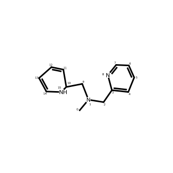 CN(Cc1ccccn1)CC1C=CC=CN1